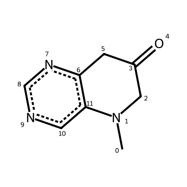 CN1CC(=O)Cc2ncncc21